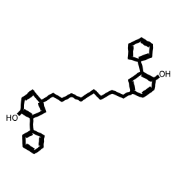 Oc1ccc(CCCCCCCCc2ccc(O)c(-c3ccccc3)c2)cc1-c1ccccc1